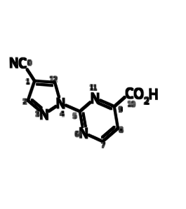 N#Cc1cnn(-c2nccc(C(=O)O)n2)c1